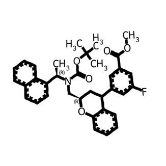 COC(=O)c1cc(F)cc(C2C[C@H](CN(C(=O)OC(C)(C)C)[C@H](C)c3cccc4ccccc34)Oc3ccccc32)c1